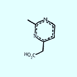 Cc1nccc(CC(=O)O)n1